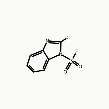 O=S(=O)(F)n1c(Cl)nc2ccccc21